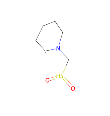 O=[SH](=O)CN1[CH]CCCC1